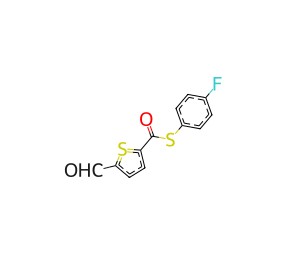 O=Cc1ccc(C(=O)Sc2ccc(F)cc2)s1